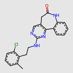 Cc1cccc(Cl)c1CCNc1ncc2c(n1)-c1ccccc1NC(=O)C2